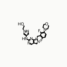 OCCn1cc(Nc2ncc3cnn(Cc4c(F)ccc(N5CCOCC5)c4F)c3n2)cn1